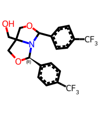 OCC12COC(c3ccc(C(F)(F)F)cc3)N1[C@@H](c1ccc(C(F)(F)F)cc1)OC2